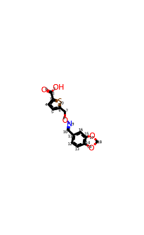 O=C(O)c1ccc(CON=Cc2ccc3c(c2)OCO3)s1